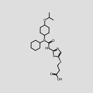 CC(C)OC1CCC(N(C(=O)Nc2ncc(SCCC(=O)O)s2)C2CCCCC2)CC1